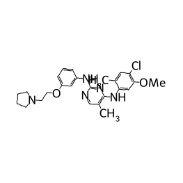 COc1cc(Nc2nc(Nc3cccc(OCCN4CCCC4)c3)ncc2C)c(C)cc1Cl